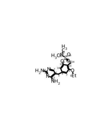 CCOc1cc(Cc2cnc(N)nc2N)cc(OS(=O)(=O)N(C)C)c1I